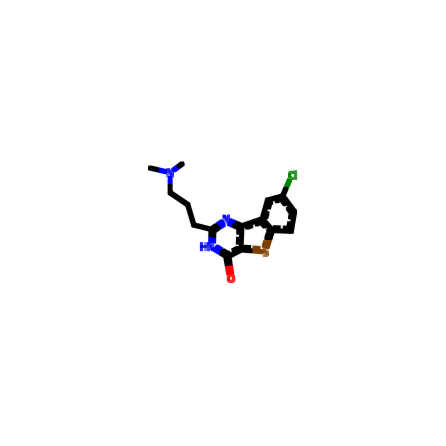 CN(C)CCCc1nc2c(sc3ccc(Cl)cc32)c(=O)[nH]1